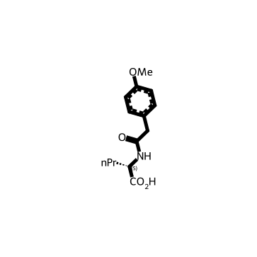 CCC[C@H](NC(=O)Cc1ccc(OC)cc1)C(=O)O